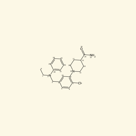 CCN(Cc1ccc(Cl)c(N2CCC(C(N)=O)CC2)c1)c1ccccc1